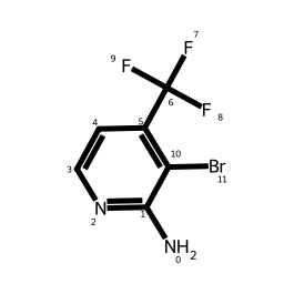 Nc1nccc(C(F)(F)F)c1Br